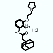 Cc1c(NC(=O)CC23CC4CC(CC(C4)C2)C3)cccc1OCCN1CCCC1.Cl